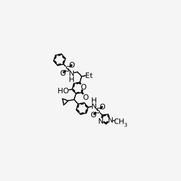 CCC(CNS(=O)(=O)c1ccccc1)c1cc(O)c(C(c2cccc(NS(=O)(=O)c3cn(C)cn3)c2)C2CC2)c(=O)o1